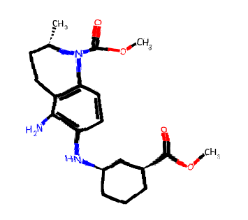 COC(=O)[C@H]1CCC[C@@H](Nc2ccc3c(c2N)CC[C@H](C)N3C(=O)OC)C1